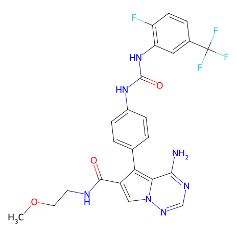 COCCNC(=O)c1cn2ncnc(N)c2c1-c1ccc(NC(=O)Nc2cc(C(F)(F)F)ccc2F)cc1